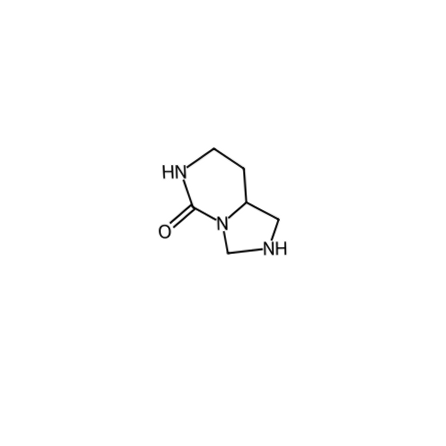 O=C1NCCC2CNCN12